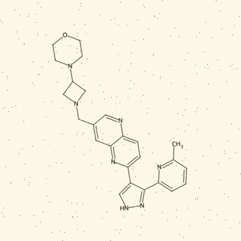 Cc1cccc(-c2n[nH]cc2-c2ccc3ncc(CN4CC(N5CCOCC5)C4)cc3n2)n1